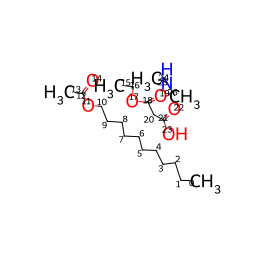 CCCCCCCCCCCOC(C)=O.CCOC(=O)CC(=O)O.CNC